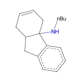 CCCCNC12CC=CCC1Cc1ccccc12